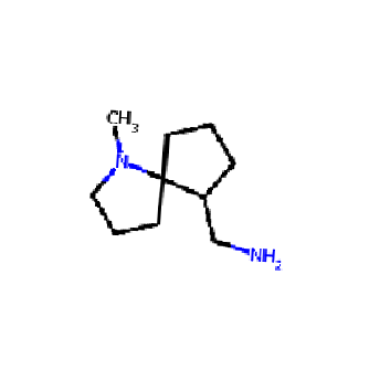 CN1CCCC12CCCC2CN